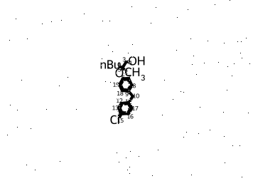 CCCCC(C)(CO)Oc1ccc(Cc2ccc(Cl)cc2)cc1